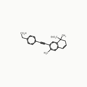 CCOC(=O)C1(C)CC=Cc2cc(C)c(C#Cc3ccc(CC(=O)O)cc3)cc21